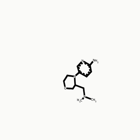 CN(C)CC1COCCN1c1ccc(N)nc1